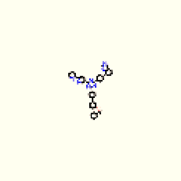 CC1(C)Oc2cc(-c3ccc(-c4nc(-c5ccc(-c6cccc7cncnc67)cc5)nc(-c5ccc(-c6ccccn6)nc5)n4)cc3)ccc2-c2ccccc21